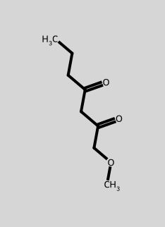 CCCC(=O)CC(=O)COC